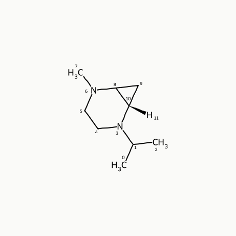 CC(C)N1CCN(C)C2C[C@@H]21